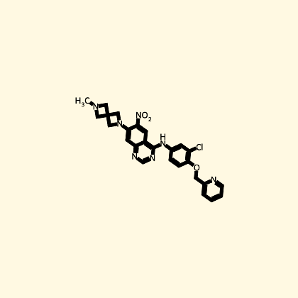 CN1CC2(C1)CN(c1cc3ncnc(Nc4ccc(OCc5ccccn5)c(Cl)c4)c3cc1[N+](=O)[O-])C2